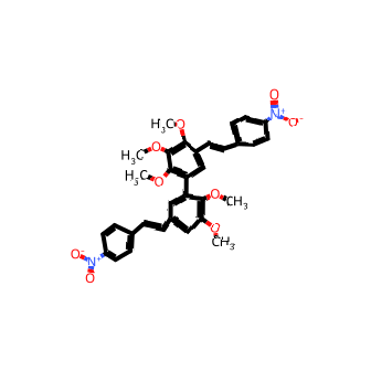 COc1cc(C=Cc2ccc([N+](=O)[O-])cc2)cc(-c2cc(C=Cc3ccc([N+](=O)[O-])cc3)c(OC)c(OC)c2OC)c1OC